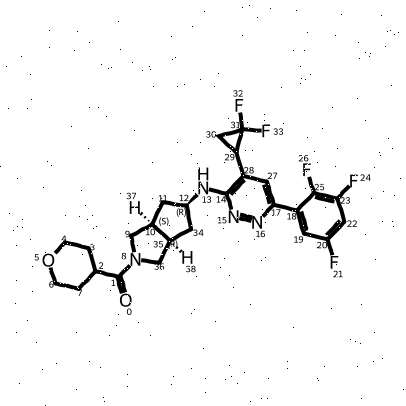 O=C(C1CCOCC1)N1C[C@H]2C[C@@H](Nc3nnc(-c4cc(F)cc(F)c4F)cc3C3CC3(F)F)C[C@H]2C1